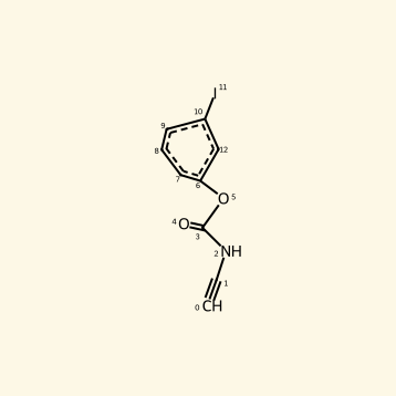 C#CNC(=O)Oc1cccc(I)c1